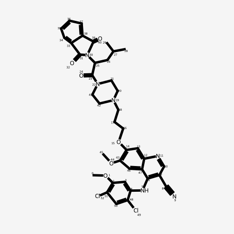 COc1cc(Nc2c(C#N)cnc3cc(OCCCN4CCN(C(=O)C(CC(C)C)N5C(=O)c6ccccc6C5=O)CC4)c(OC)cc23)c(Cl)cc1Cl